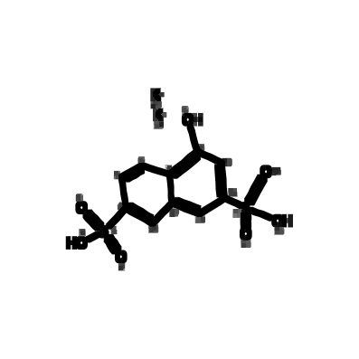 O=S(=O)(O)c1ccc2c(O)cc(S(=O)(=O)O)cc2c1.[K].[K]